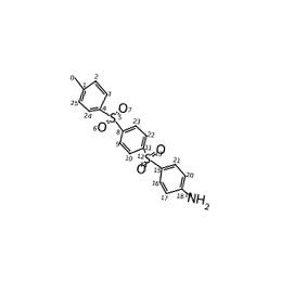 Cc1ccc(S(=O)(=O)c2ccc(S(=O)(=O)c3ccc(N)cc3)cc2)cc1